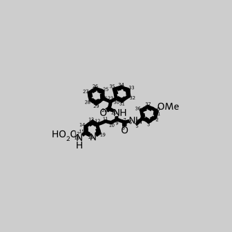 COc1ccc(CNC(=O)C(CCc2ccc(NC(=O)O)nc2)NC(=O)C(c2ccccc2)c2ccccc2)cc1